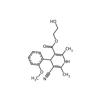 COc1ccccc1C1C(C#N)=C(C)NC(C)=C1C(=O)OCCO